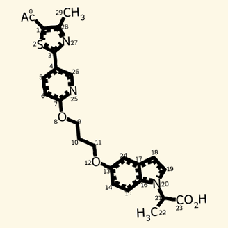 CC(=O)c1sc(-c2ccc(OCCCOc3ccc4c(ccn4C(C)C(=O)O)c3)nc2)nc1C